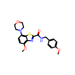 COc1ccc(CNC(=O)c2nc3c(OC)ccc(N4CCOCC4)c3s2)cc1